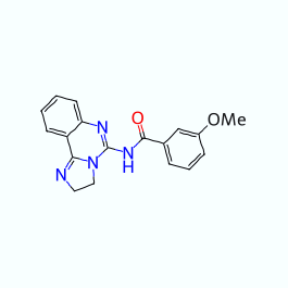 COc1cccc(C(=O)NC2=Nc3ccccc3C3=NCCN23)c1